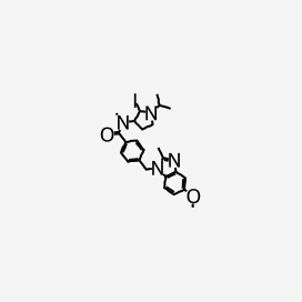 COc1ccc2c(c1)nc(C)n2Cc1ccc(C(=O)N(C)C2CCN(C(C)C)C2I)cc1